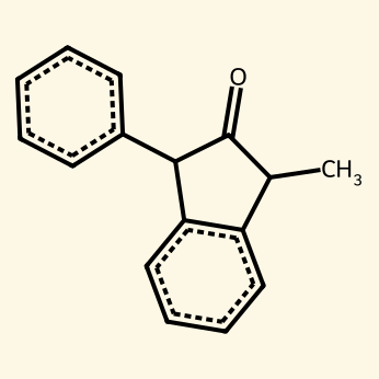 CC1C(=O)C(c2ccccc2)c2ccccc21